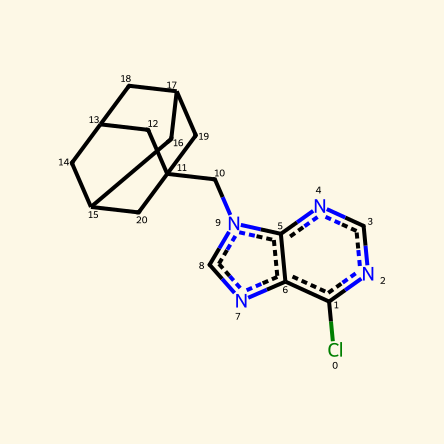 Clc1ncnc2c1ncn2CC12CC3CC(CC(C3)C1)C2